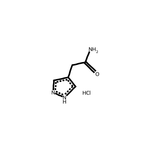 Cl.NC(=O)Cc1cn[nH]c1